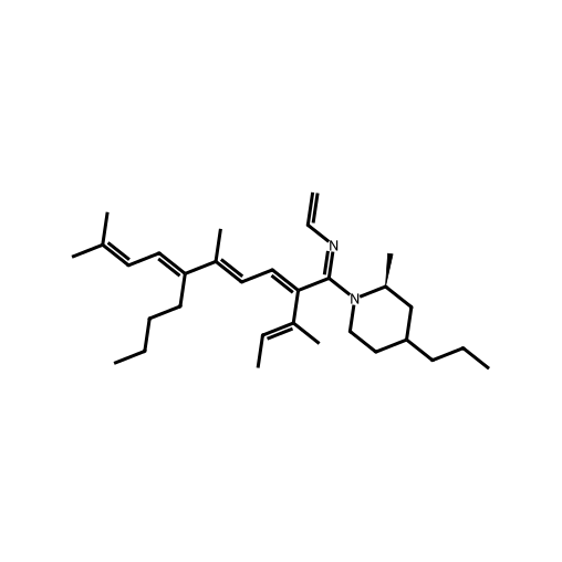 C=C\N=C(C(=C/C=C(C)/C(=C/C=C(C)C)CCCC)/C(C)=C/C)\N1CCC(CCC)C[C@@H]1C